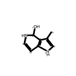 Cc1c[nH]c2c1C(O)NC=C2